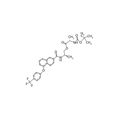 C[C@H](COC(=O)[C@H](C)NC(=O)OC(C)(C)C)NC(=O)c1ccc2c(Oc3ccc(C(F)(F)F)cc3)cccc2c1